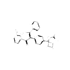 O=C(O)NC1(c2ccc(-c3c(-c4ccccc4)oc4c(Br)cccc4c3=O)cc2)CCC1